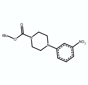 CC(C)(C)OC(=O)N1CCN(c2cccc([N+](=O)[O-])c2)CC1